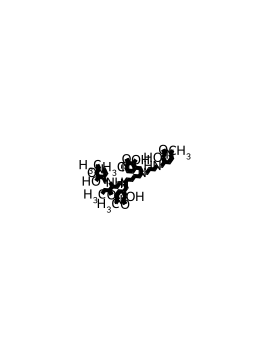 CCC(=O)C(CCN(CCCCN(CCCNCc1ccn(C)c(=O)c1O)Cc1ccn(C)c(=O)c1O)Cc1ccn(C)c(=O)c1O)NCc1ccn(C)c(=O)c1O